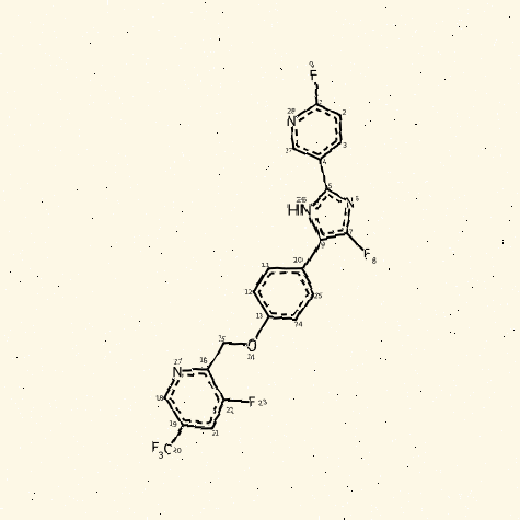 Fc1ccc(-c2nc(F)c(-c3ccc(OCc4ncc(C(F)(F)F)cc4F)cc3)[nH]2)cn1